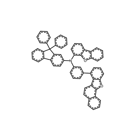 c1ccc(C2(c3ccccc3)c3ccccc3-c3ccc(N(c4cccc(-c5cccc6oc7c8ccccc8ccc7c56)c4)c4cccc5c4oc4ccccc45)cc32)cc1